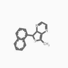 CC1=C2N=CC=NC2C(c2cccc3ccccc23)S1